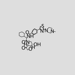 CN1CCN(c2nc(-c3ccc(C(=O)N[C@H](C(=O)N4C[C@H](O)[C@H]5OCC(=O)[C@H]54)C4CCCCC4)cc3)cs2)CC1